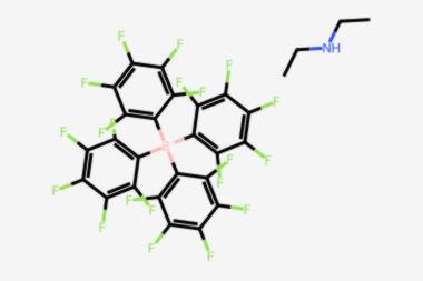 CCNCC.Fc1c(F)c(F)c([B-](c2c(F)c(F)c(F)c(F)c2F)(c2c(F)c(F)c(F)c(F)c2F)c2c(F)c(F)c(F)c(F)c2F)c(F)c1F